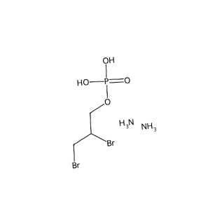 N.N.O=P(O)(O)OCC(Br)CBr